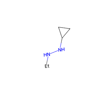 CCNNC1CC1